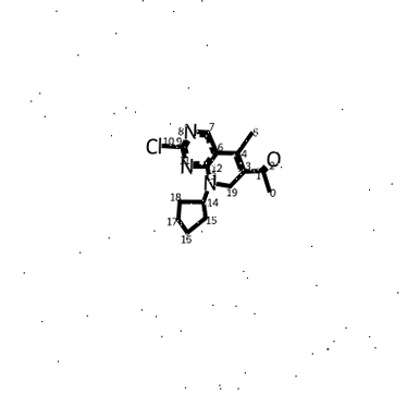 CC(=O)C1=C(C)c2cnc(Cl)nc2N(C2CCCC2)C1